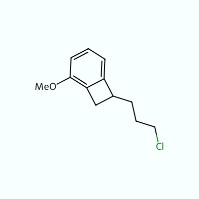 COc1cccc2c1CC2CCCCl